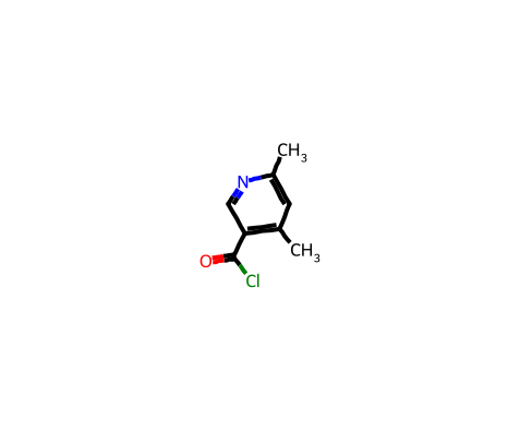 Cc1cc(C)c(C(=O)Cl)cn1